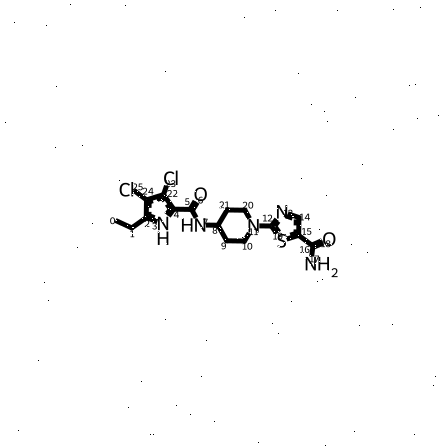 CCc1[nH]c(C(=O)NC2CCN(c3ncc(C(N)=O)s3)CC2)c(Cl)c1Cl